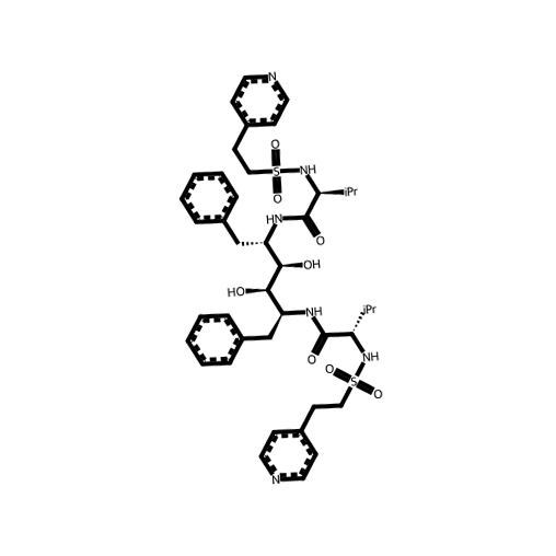 CC(C)[C@H](NS(=O)(=O)CCc1ccncc1)C(=O)N[C@@H](Cc1ccccc1)[C@@H](O)[C@H](O)[C@H](Cc1ccccc1)NC(=O)[C@@H](NS(=O)(=O)CCc1ccncc1)C(C)C